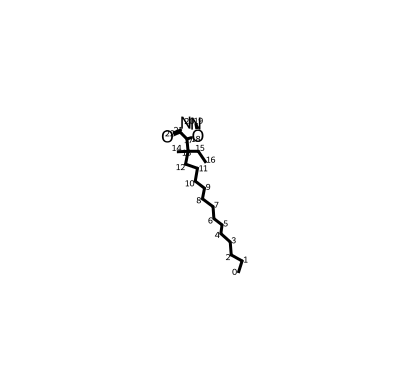 CCCCCCCCCCCCCC(C)(CC)C1ON=NC1=O